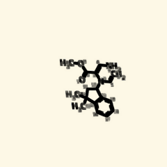 C=CN(/C(=C\N)C(=O)OC)C1CC(C)(C)c2ccccc21